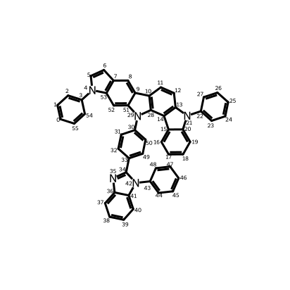 c1ccc(-n2ccc3cc4c5ccc6c(c7ccccc7n6-c6ccccc6)c5n(-c5ccc(-c6nc7ccccc7n6-c6ccccc6)cc5)c4cc32)cc1